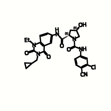 CCn1c(=O)n(CC2CC2)c(=O)c2cc(NC(=O)[C@@H]3C[C@@H](O)CN3C(=O)Nc3ccc(C#N)c(Cl)c3)ccc21